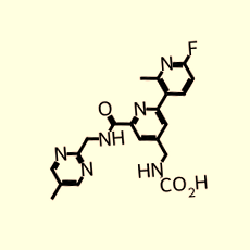 Cc1cnc(CNC(=O)c2cc(CNC(=O)O)cc(-c3ccc(F)nc3C)n2)nc1